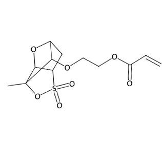 C=CC(=O)OCCOC1C2CC3C(O2)C1(C)OS3(=O)=O